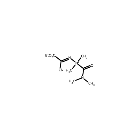 CCOC(=O)C(C#N)=N[N+](C)(C)C(=O)N(C)C